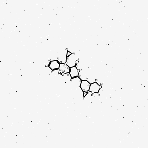 O=c1oc(C(CC2CC2)CC2CCCOC2)cc(O)c1N(c1ccccc1)C1CC1